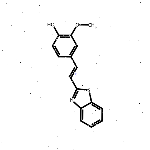 COc1cc(/C=C/c2nc3ccccc3s2)ccc1O